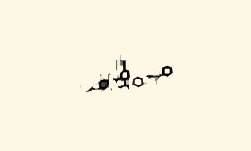 CCN(C[C@H]1CC[C@H](CC(=O)OCc2ccccc2)CC1)c1ccc(C(F)(F)F)cc1CNc1ncc(OCCSC)cn1